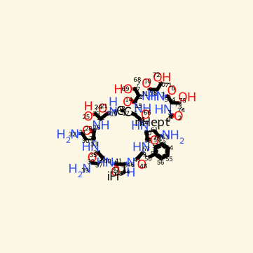 CCCCCCCC(=O)N[C@H](C(=O)N[C@H](C(=O)N[C@@H](C(=O)N[C@H]1CCNC(=O)[C@H]([C@@H](C)O)NC(=O)[C@H](CCN)NC(=O)[C@H](CCN)NC(=O)[C@H](CC(C)C)NC(=O)[C@@H](Cc2ccccc2)NC(=O)[C@H](CCN)NC1=O)[C@@H](C)O)[C@@H](C)O)[C@@H](C)O